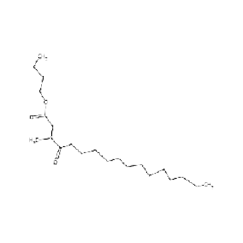 CCCCCCCCCCCCCC(=O)N(C)CC(=O)OCCCC